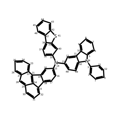 c1ccc(-n2c3ccccc3c3cc(N(c4ccc5c(c4)-c4c6ccccc6cc6cccc-5c46)c4ccc5c(c4)sc4ccccc45)ccc32)cc1